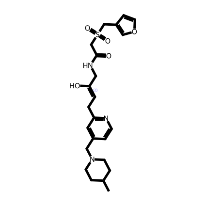 CC1CCN(Cc2ccnc(C/C=C(\O)CNC(=O)CS(=O)(=O)Cc3ccoc3)c2)CC1